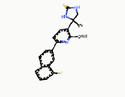 COc1nc(-c2ccc3cccc(F)c3c2)ccc1C1(C(C)C)CNC(=S)N1